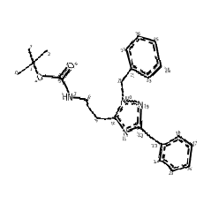 CC(C)(C)OC(=O)NCCc1nc(-c2ccccc2)nn1Cc1ccccc1